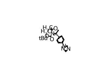 CC(C)(C)OC(=O)N1[C@H](c2ccc(-n3cncn3)cc2)COC1(C)C